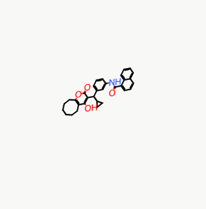 O=C(Nc1cccc(C(c2c(O)c3c(oc2=O)CCCCCC3)C2CC2)c1)c1cccc2ccccc12